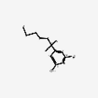 CCCCCC(C)(C)c1cc(Cl)[c]c(Cl)c1